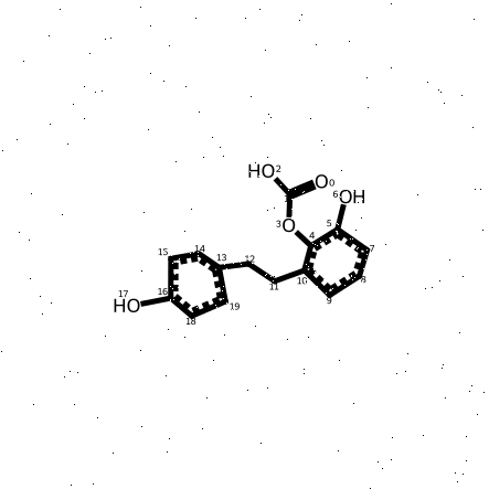 O=C(O)Oc1c(O)cccc1CCc1ccc(O)cc1